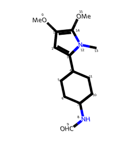 COc1cc(C2CCC(NC=O)CC2)n(C)c1OC